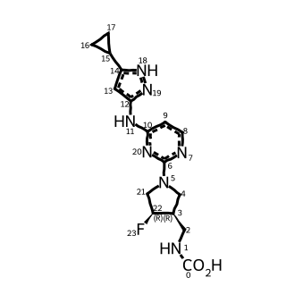 O=C(O)NC[C@@H]1CN(c2nccc(Nc3cc(C4CC4)[nH]n3)n2)C[C@@H]1F